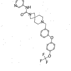 O=C(Nc1cccnc1)N1CC2(CCN(Cc3cccc(Oc4ccc(OC(F)(F)F)cc4)c3)CC2)C1